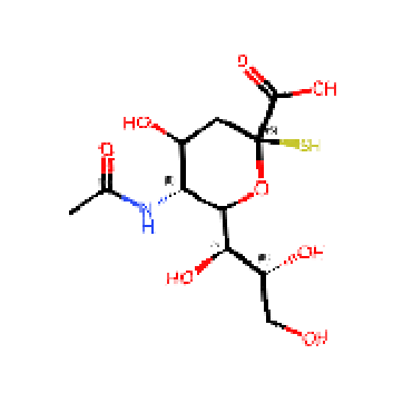 CC(=O)N[C@@H]1C(O)C[C@](S)(C(=O)O)OC1[C@H](O)[C@H](O)CO